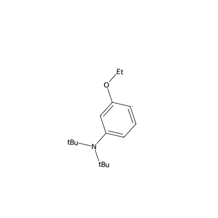 CCOc1[c]ccc(N(C(C)(C)C)C(C)(C)C)c1